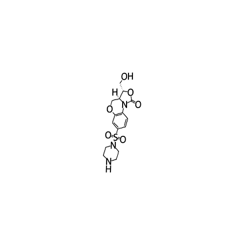 O=C1O[C@@H](CO)[C@@H]2COc3cc(S(=O)(=O)N4CCNCC4)ccc3N12